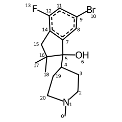 CN1CCC(C2(O)c3cc(Br)cc(F)c3CC2(C)C)CC1